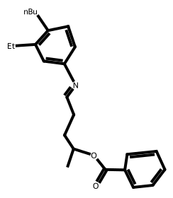 CCCCc1ccc(N=CCCC(C)OC(=O)c2ccccc2)cc1CC